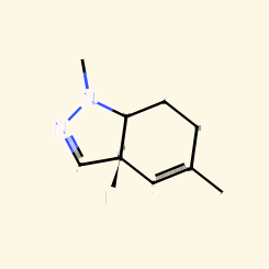 CC1=C[C@@H]2C=NN(C)C2CC1